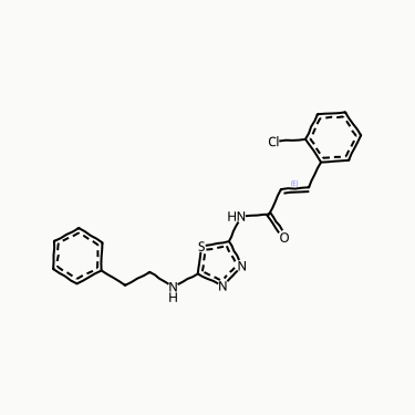 O=C(/C=C/c1ccccc1Cl)Nc1nnc(NCCc2ccccc2)s1